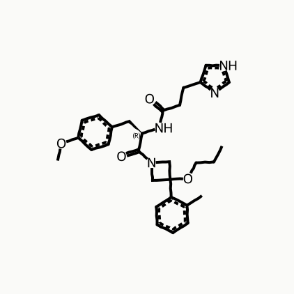 CCCOC1(c2ccccc2C)CN(C(=O)[C@@H](Cc2ccc(OC)cc2)NC(=O)CCc2c[nH]cn2)C1